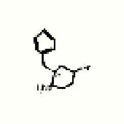 CC(C)C1CC[C@@H](N)[C@@H](Cc2ccccc2)C1